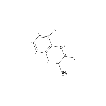 Cc1cccc(C)c1OC(C)CN